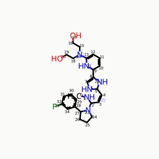 CNC(/C=C\C1NC=C(C2C=CC=C(N(CCO)CCO)N2)N1)N1CCCC1c1cccc(F)c1